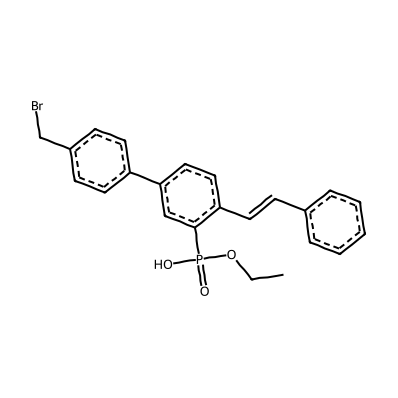 CCOP(=O)(O)c1cc(-c2ccc(CBr)cc2)ccc1C=Cc1ccccc1